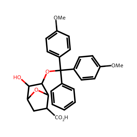 COc1ccc(C(OC2C(O)C3CC(C(=O)O)C2O3)(c2ccccc2)c2ccc(OC)cc2)cc1